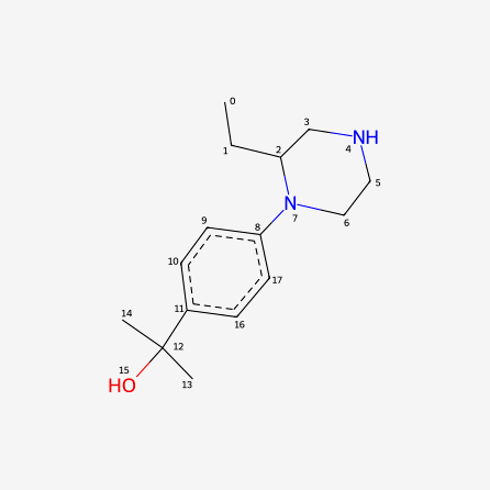 CCC1CNCCN1c1ccc(C(C)(C)O)cc1